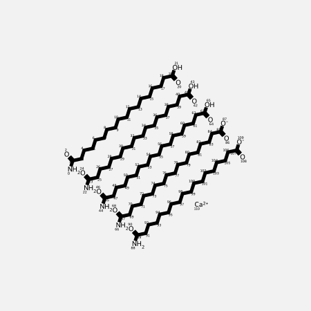 NC(=O)CCCCCCCCCCCCCCCCC(=O)O.NC(=O)CCCCCCCCCCCCCCCCC(=O)O.NC(=O)CCCCCCCCCCCCCCCCC(=O)O.NC(=O)CCCCCCCCCCCCCCCCC(=O)[O-].NC(=O)CCCCCCCCCCCCCCCCC(=O)[O-].[Ca+2]